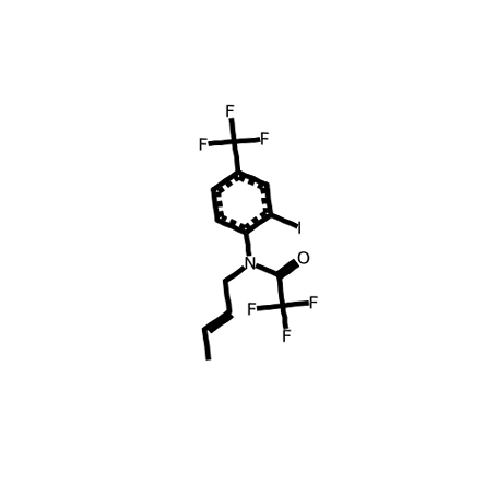 CC=CCN(C(=O)C(F)(F)F)c1ccc(C(F)(F)F)cc1I